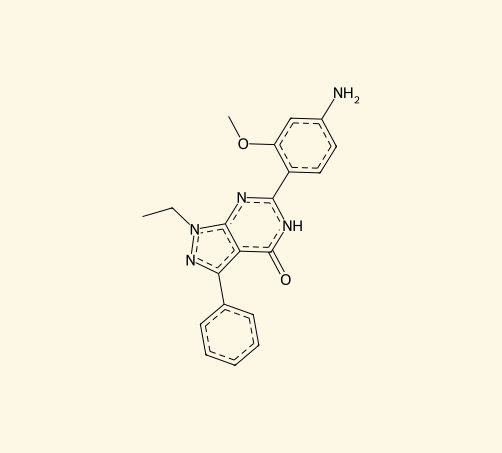 CCn1nc(-c2ccccc2)c2c(=O)[nH]c(-c3ccc(N)cc3OC)nc21